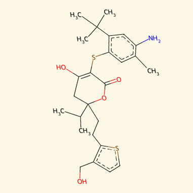 Cc1cc(SC2=C(O)CC(CCc3sccc3CO)(C(C)C)OC2=O)c(C(C)(C)C)cc1N